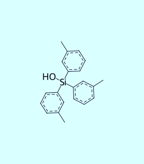 Cc1cccc([Si](O)(c2cccc(C)c2)c2cccc(C)c2)c1